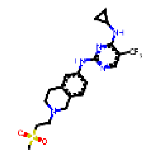 CS(=O)(=O)CCN1CCc2cc(Nc3ncc(C(F)(F)F)c(NC4CC4)n3)ccc2C1